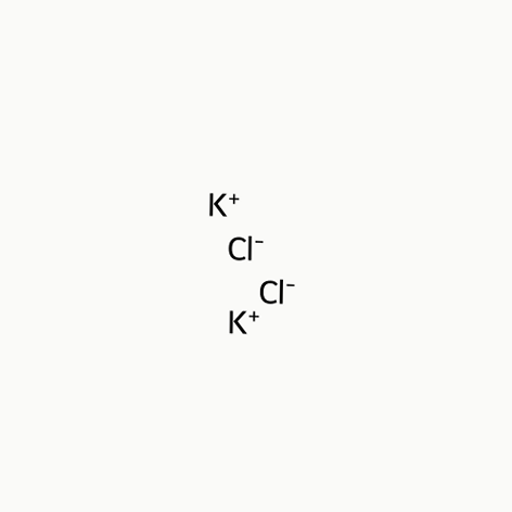 [Cl-].[Cl-].[K+].[K+]